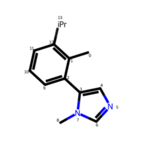 Cc1c(-c2cncn2C)cccc1C(C)C